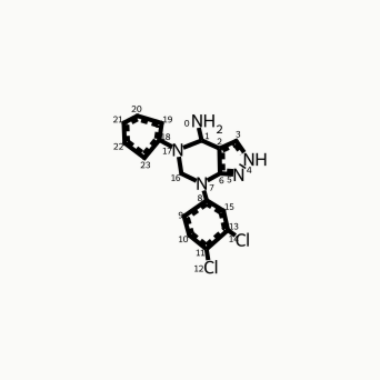 NC1c2c[nH]nc2N(c2ccc(Cl)c(Cl)c2)CN1c1ccccc1